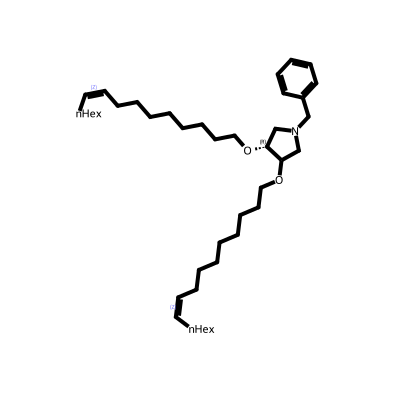 CCCCCC/C=C\CCCCCCCCOC1CN(Cc2ccccc2)C[C@H]1OCCCCCCCC/C=C\CCCCCC